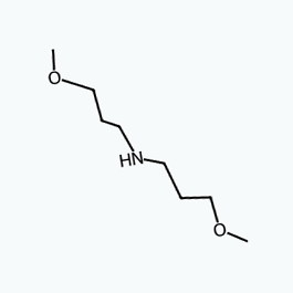 COCCCNCCCOC